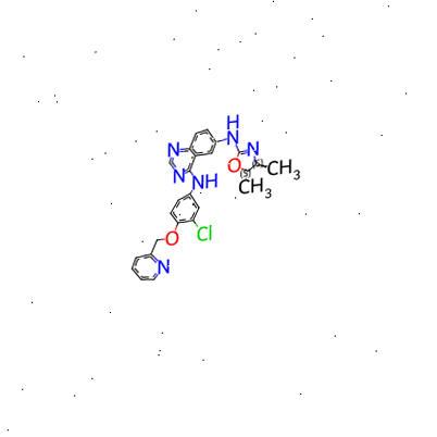 C[C@@H]1N=C(Nc2ccc3ncnc(Nc4ccc(OCc5ccccn5)c(Cl)c4)c3c2)O[C@H]1C